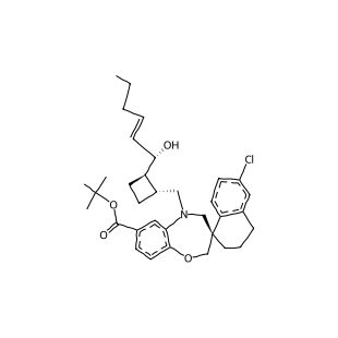 CCC/C=C/[C@H](O)[C@@H]1CC[C@H]1CN1C[C@@]2(CCCc3cc(Cl)ccc32)COc2ccc(C(=O)OC(C)(C)C)cc21